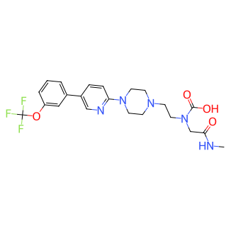 CNC(=O)CN(CCN1CCN(c2ccc(-c3cccc(OC(F)(F)F)c3)cn2)CC1)C(=O)O